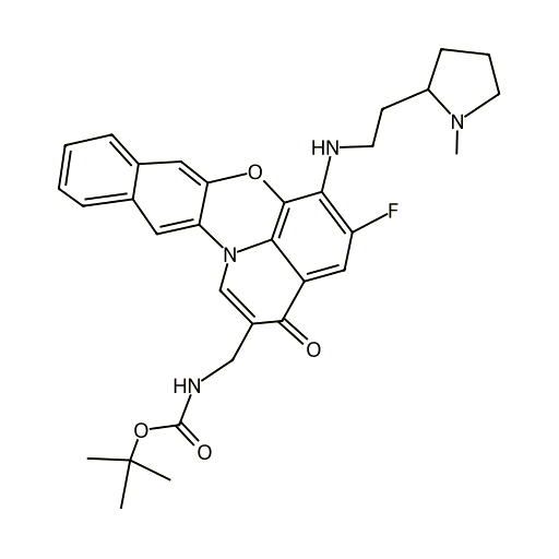 CN1CCCC1CCNc1c(F)cc2c(=O)c(CNC(=O)OC(C)(C)C)cn3c2c1Oc1cc2ccccc2cc1-3